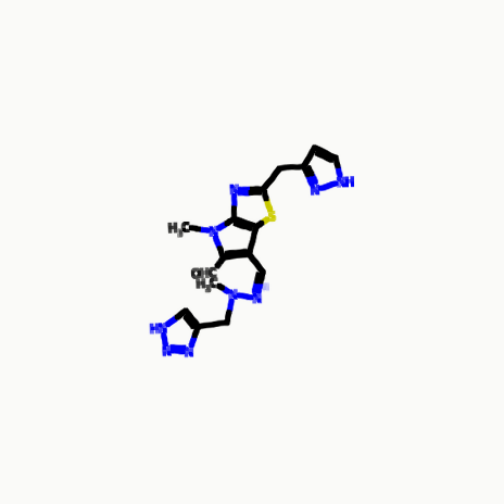 CN(Cc1c[nH]nn1)/N=C\c1c(C=O)n(C)c2nc(Cc3cc[nH]n3)sc12